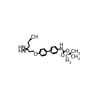 C#CCCC1(CCOc2ccc(-c3ccc(NC(=O)OC(C)(C)C)cc3)cc2)NN1